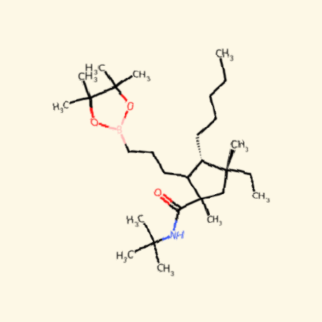 CCCCC[C@H]1C(CCCB2OC(C)(C)C(C)(C)O2)C(C)(C(=O)NC(C)(C)C)C[C@@]1(C)CC